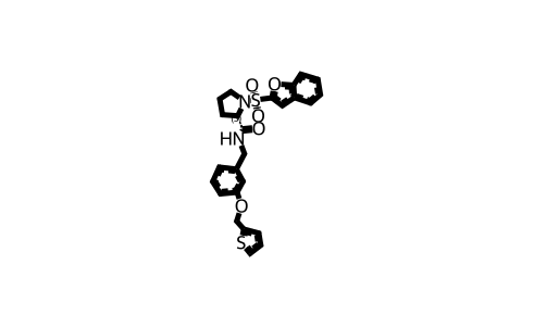 O=C(NCc1cccc(OCc2cccs2)c1)[C@@H]1CCCN1S(=O)(=O)c1cc2ccccc2o1